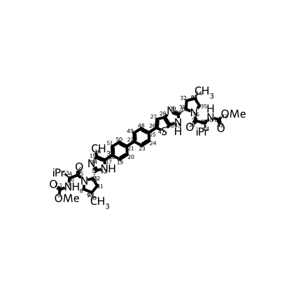 COC(=O)N[C@H](C(=O)N1C[C@@H](C)C[C@H]1c1nc(C)c(-c2ccc(-c3ccc(-c4cc5nc([C@@H]6C[C@H](C)CN6C(=O)[C@@H](NC(=O)OC)C(C)C)[nH]c5s4)cc3)cc2)[nH]1)C(C)C